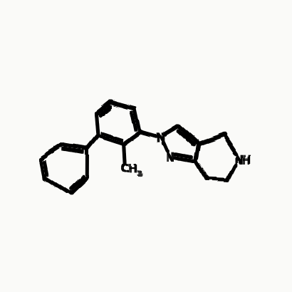 Cc1c(-c2ccccc2)cccc1-n1cc2c(n1)CCNC2